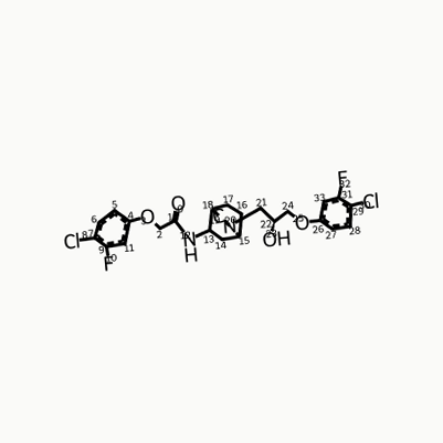 O=C(COc1ccc(Cl)c(F)c1)NC1CC2CCC1CN2C[C@H](O)COc1ccc(Cl)c(F)c1